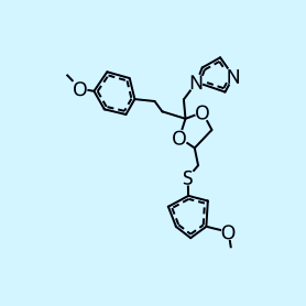 COc1ccc(CCC2(Cn3ccnc3)OCC(CSc3cccc(OC)c3)O2)cc1